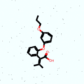 CCCOc1cccc(Oc2ccccc2C(C(=O)O)=C(C)C)c1